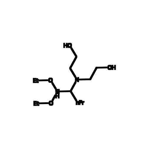 CCCC(N(CCO)CCO)[SiH](OCC)OCC